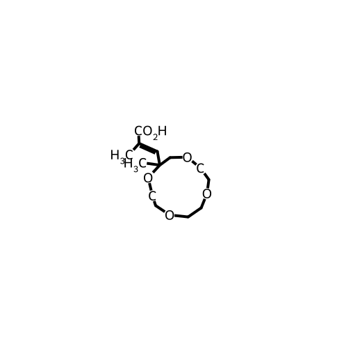 CC(=CC1(C)COCCOCCOCCO1)C(=O)O